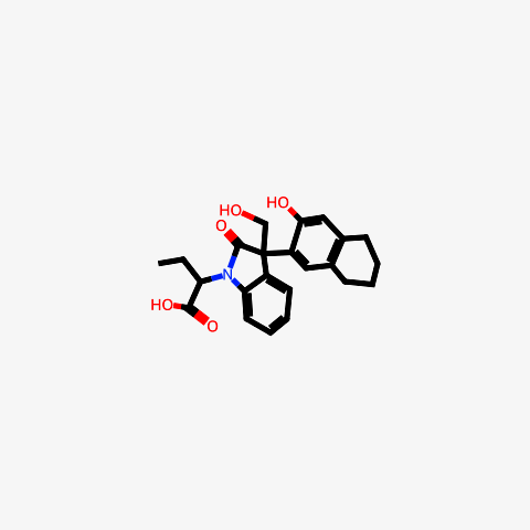 CCC(C(=O)O)N1C(=O)C(CO)(c2cc3c(cc2O)CCCC3)c2ccccc21